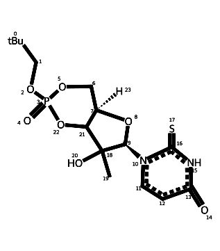 CC(C)(C)COP1(=O)OC[C@H]2O[C@@H](n3ccc(=O)[nH]c3=S)C(C)(O)C2O1